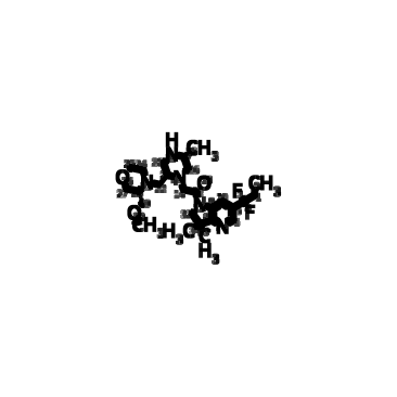 CCC(F)(F)c1cnc2c(c1)N(C(=O)CN1C[C@@H](C)NC[C@@H]1CN1CCOC[C@H]1COC)CC2(C)C